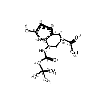 CC(C)(C)OC(=O)NC1CN(C(=O)O)Cc2ccc(Cl)nc21